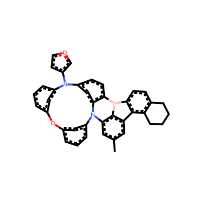 Cc1cc2c3c(c1)N1c4cccc(c4)Oc4cccc(c4)N(c4ccoc4)c4ccc(c1c4)B3c1ccc3c(c1-2)CCCC3